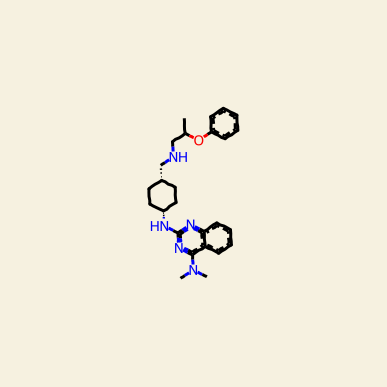 CC(CNC[C@H]1CC[C@@H](Nc2nc(N(C)C)c3ccccc3n2)CC1)Oc1ccccc1